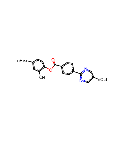 CCCCCCCCc1cnc(-c2ccc(C(=O)Oc3ccc(CCCCCC)cc3C#N)cc2)nc1